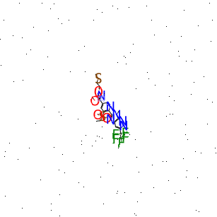 CCS(=O)(=O)c1cc(/C(=N/OCCSC)OC)cnc1-c1nc2cc(C(F)(F)C(F)(F)F)nnc2n1C